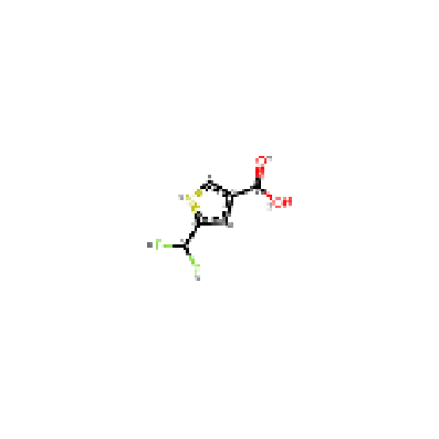 O=C(O)c1csc(C(F)F)c1